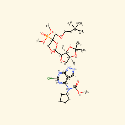 CCOP(=O)(OCC)C(CO)(COCC[Si](C)(C)C)OCC1O[C@@H](n2ncc3c(N(C(=O)OC(C)(C)C)C4CCCC4)nc(Cl)nc32)[C@@H]2OC(C)(C)O[C@H]12